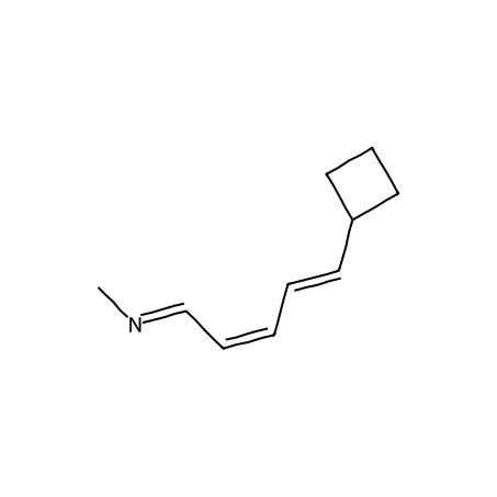 C/N=C/C=C\C=C\C1CCC1